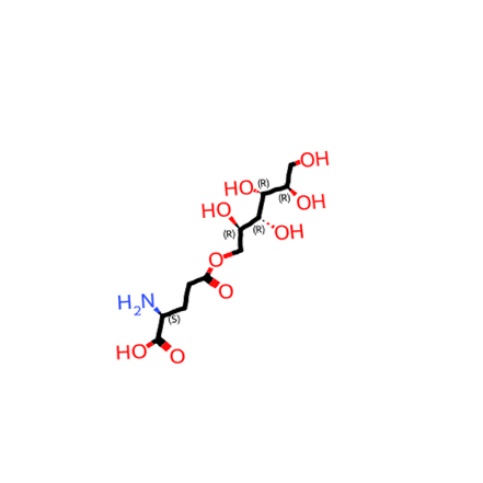 N[C@@H](CCC(=O)OC[C@@H](O)[C@@H](O)[C@H](O)[C@H](O)CO)C(=O)O